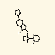 CCn1c(Cn2ccnc2-c2ncccc2F)nc2cc(-c3ccsc3)ccc21